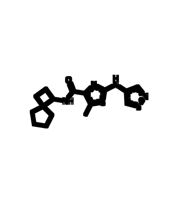 Cc1sc(Nc2cnsc2)nc1C(=O)NC1CCC12CCCC2